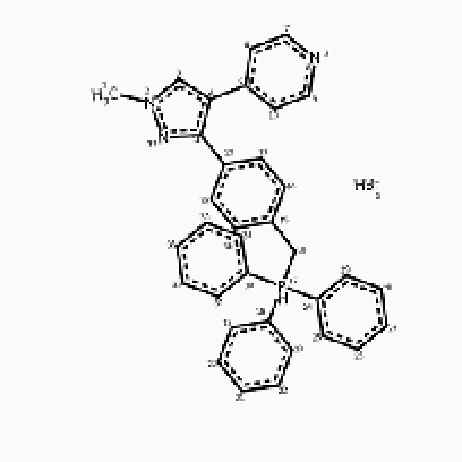 Br.Cn1cc(-c2ccncc2)c(-c2ccc(C[PH](c3ccccc3)(c3ccccc3)c3ccccc3)cc2)n1